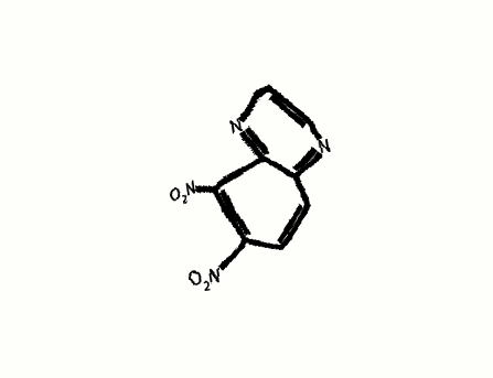 O=[N+]([O-])c1ccc2nccnc2c1[N+](=O)[O-]